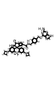 C[Si]1(C)c2cc(N3CCC3)ccc2C2(C(=N)C(=O)c3ccc(C(=O)NCc4ccc(COc5nc(N)nc6[nH]cnc56)cc4)cc32)c2ccc(N3CCC3)cc21